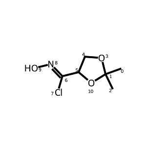 CC1(C)OCC(C(Cl)=NO)O1